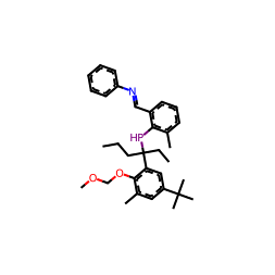 CCCC(CC)(Pc1c(C)cccc1/C=N/c1ccccc1)c1cc(C(C)(C)C)cc(C)c1OCOC